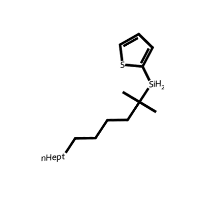 CCCCCCCCCCCC(C)(C)[SiH2]c1cccs1